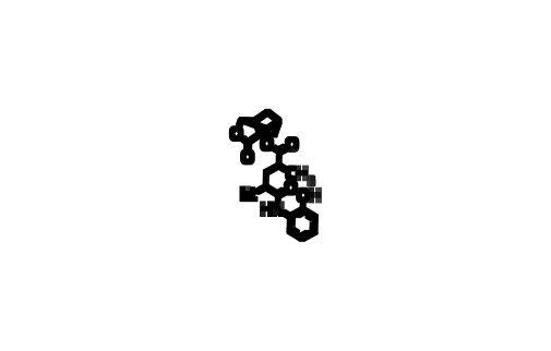 CCC(CC(C)C(=O)OC1C2CC3C(=O)OC1C3C2)C(=O)Nc1ccccc1O